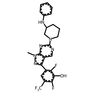 Cn1nc(-c2cc(C(F)(F)F)c(F)c(O)c2F)c2cnc(N3CCCC(Nc4ccccc4)C3)nc21